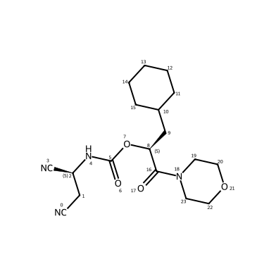 N#CC[C@@H](C#N)NC(=O)O[C@@H](CC1CCCCC1)C(=O)N1CCOCC1